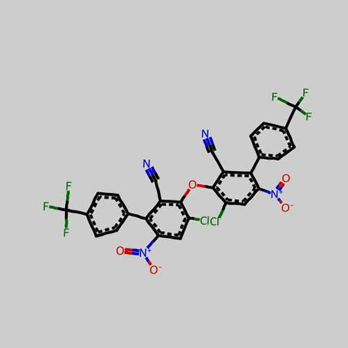 N#Cc1c(Oc2c(Cl)cc([N+](=O)[O-])c(-c3ccc(C(F)(F)F)cc3)c2C#N)c(Cl)cc([N+](=O)[O-])c1-c1ccc(C(F)(F)F)cc1